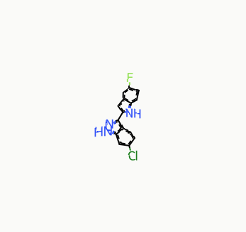 Fc1ccc2[nH]c(-c3n[nH]c4cc(Cl)ccc34)cc2c1